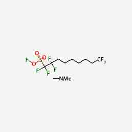 CNC.O=S(=O)(OF)C(F)(F)C(F)(F)CCCCCCC(F)(F)F